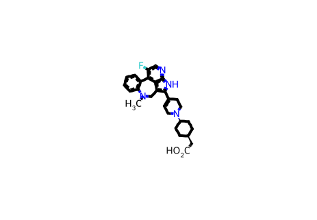 CN1Cc2c(C3=CCN([C@H]4CC[C@H](CC(=O)O)CC4)CC3)[nH]c3ncc(F)c(c23)-c2ccccc21